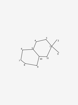 CC1(C)CCC2CCCCC2C1